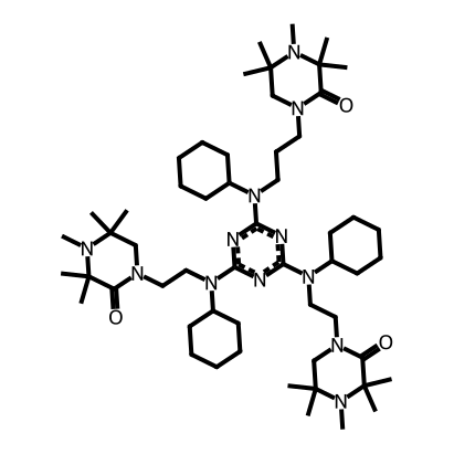 CN1C(C)(C)CN(CCCN(c2nc(N(CCN3CC(C)(C)N(C)C(C)(C)C3=O)C3CCCCC3)nc(N(CCN3CC(C)(C)N(C)C(C)(C)C3=O)C3CCCCC3)n2)C2CCCCC2)C(=O)C1(C)C